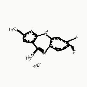 Cc1cc2c(s1)Nc1cc(F)c(F)cc1N=C2N.Cl